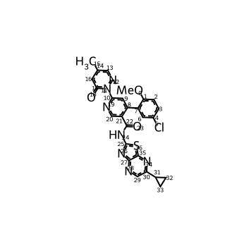 COc1ccc(Cl)cc1-c1cc(-n2ncc(C)cc2=O)ncc1C(=O)Nc1nc2ncc(C3CC3)nc2s1